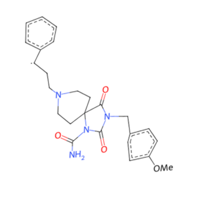 COc1ccc(CN2C(=O)N(C(N)=O)C3(CCN(CC[CH]c4ccccc4)CC3)C2=O)cc1